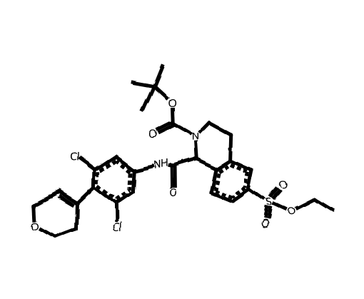 CCOS(=O)(=O)c1ccc2c(c1)CCN(C(=O)OC(C)(C)C)C2C(=O)Nc1cc(Cl)c(C2=CCOCC2)c(Cl)c1